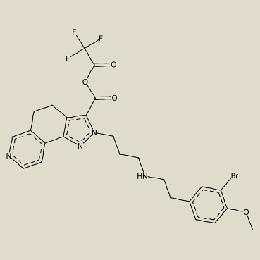 COc1ccc(CCNCCCn2nc3c(c2C(=O)OC(=O)C(F)(F)F)CCc2cnccc2-3)cc1Br